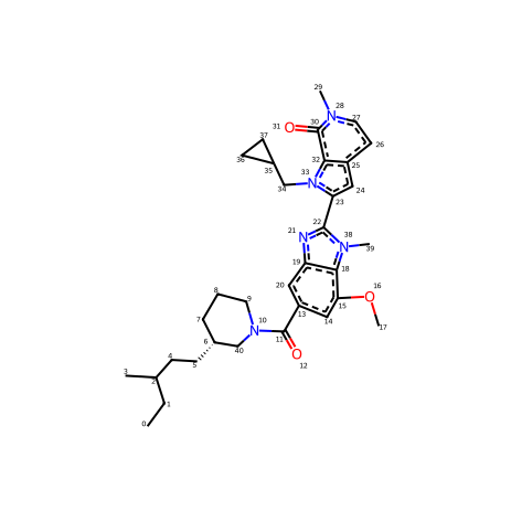 CCC(C)CC[C@@H]1CCCN(C(=O)c2cc(OC)c3c(c2)nc(-c2cc4ccn(C)c(=O)c4n2CC2CC2)n3C)C1